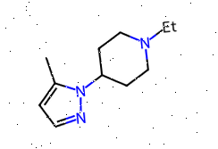 CCN1CCC(n2nccc2C)CC1